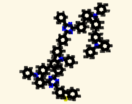 c1ccc(-c2nc(-c3ccc(-c4ccc5c6cc(-c7ccc8c(c7)c7c(-c9nc(-c%10ccccc%10)nc(-c%10ccc%11sc%12ccccc%12c%11c%10)n9)cccc7n8-c7ccccc7)ccc6n(-c6ccccc6)c5c4)cc3)nc(-c3cccc(-c4cccc5c4c4cc(-c6ccc7c(c6)c6ccccc6n7-c6ccccc6)ccc4n5-c4ccccc4)c3)n2)cc1